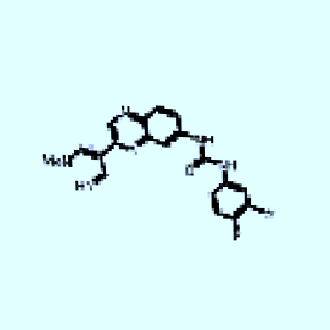 CN/C=C(\C=N)c1cnc2ccc(NC(=O)Nc3ccc(F)c(Br)c3)cc2n1